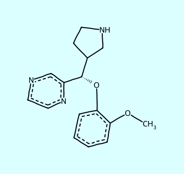 COc1ccccc1O[C@H](c1cnccn1)C1CCNC1